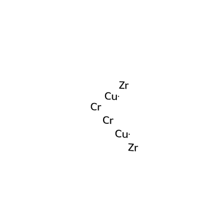 [Cr].[Cr].[Cu].[Cu].[Zr].[Zr]